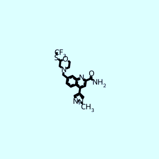 Cn1cc(-c2cc(C(N)=O)nc3cc(CN4CCOC(SC(F)(F)F)C4)ccc23)cn1